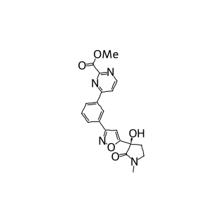 COC(=O)c1nccc(-c2cccc(-c3cc([C@]4(O)CCN(C)C4=O)on3)c2)n1